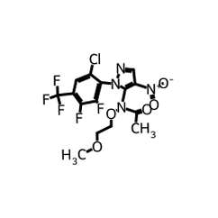 COCCON(C(C)=O)c1c([N+](=O)[O-])cnn1-c1c(Cl)cc(C(F)(F)F)c(F)c1F